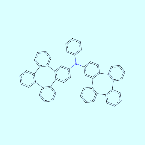 c1ccc(N(c2ccc3c(c2)-c2ccccc2-c2ccccc2-c2ccccc2-3)c2ccc3c(c2)-c2ccccc2-c2ccccc2-c2ccccc2-3)cc1